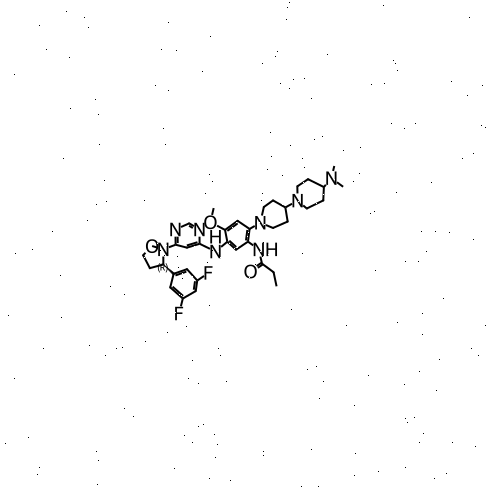 CCC(=O)Nc1cc(Nc2cc(N3OCC[C@@H]3c3cc(F)cc(F)c3)ncn2)c(OC)cc1N1CCC(N2CCC(N(C)C)CC2)CC1